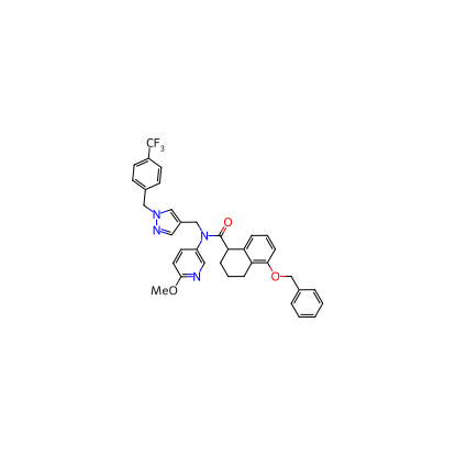 COc1ccc(N(Cc2cnn(Cc3ccc(C(F)(F)F)cc3)c2)C(=O)C2CCCc3c(OCc4ccccc4)cccc32)cn1